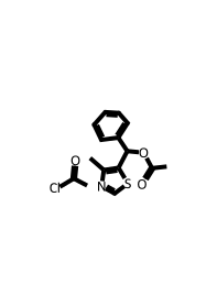 CC(=O)Cl.CC(=O)OC(c1ccccc1)c1scnc1C